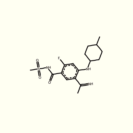 CC(=N)c1cc(C(=O)NS(C)(=O)=O)c(F)cc1NC1CCC(C)CC1